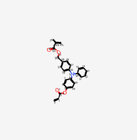 C=CC(=O)Oc1ccc(N(c2ccccc2)c2ccc(COC(=O)C(=C)C)cc2)cc1